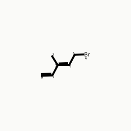 C=C/C(C)=C/CBr